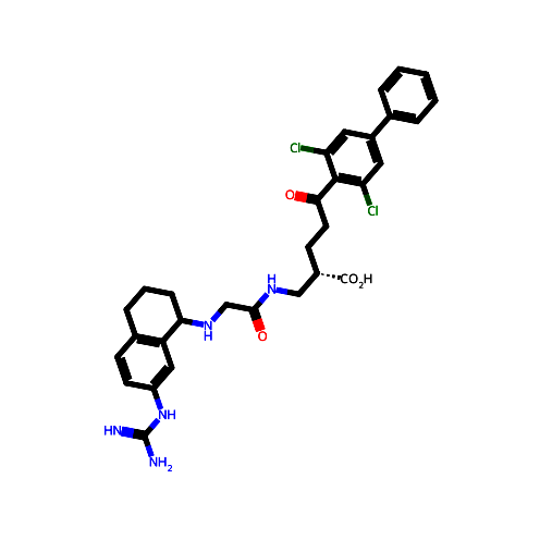 N=C(N)Nc1ccc2c(c1)C(NCC(=O)NC[C@H](CCC(=O)c1c(Cl)cc(-c3ccccc3)cc1Cl)C(=O)O)CCC2